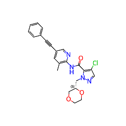 Cc1cc(C#Cc2ccccc2)cnc1NC(=O)c1c(Cl)cnn1C[C@H]1COCCO1